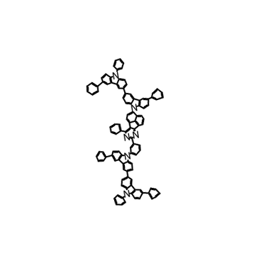 c1ccc(-c2ccc3c(c2)c2cc(-c4ccc5c(c4)c4cc(-c6ccccc6)ccc4n5-c4cccc(-c5nc(-c6ccccc6)c6c(n5)-c5cccc7c(-n8c9ccc(-c%10ccccc%10)cc9c9cc(-c%10ccc%11c(c%10)c%10cc(-c%12ccccc%12)ccc%10n%11-c%10ccccc%10)ccc98)ccc-6c57)c4)ccc2n3-c2ccccc2)cc1